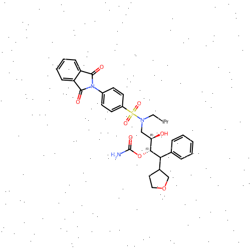 CC(C)CN(C[C@@H](O)[C@@H](OC(N)=O)C(c1ccccc1)C1CCOC1)S(=O)(=O)c1ccc(N2C(=O)c3ccccc3C2=O)cc1